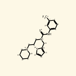 FC(F)(F)c1cccc(NC(=S)N(CCCN2CCCCC2)Cc2cccs2)c1